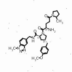 COc1ccc(C[C@@H]2C[C@@H](C(=O)NCc3ccc4c(c3)nnn4C)N(C(=O)[C@H](N)CCC(=O)N3CCCC3C)C2)cc1